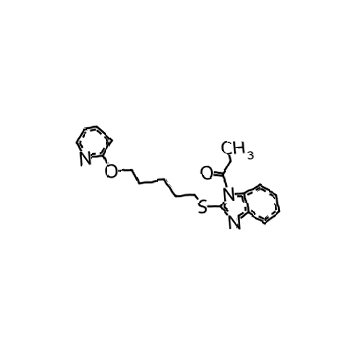 CCC(=O)n1c(SCCCCCOc2ccccn2)nc2ccccc21